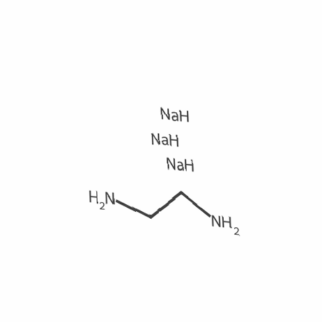 NCCN.[NaH].[NaH].[NaH]